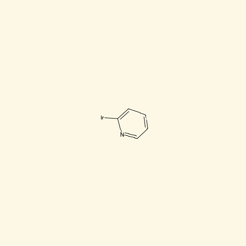 [Ir][c]1ccccn1